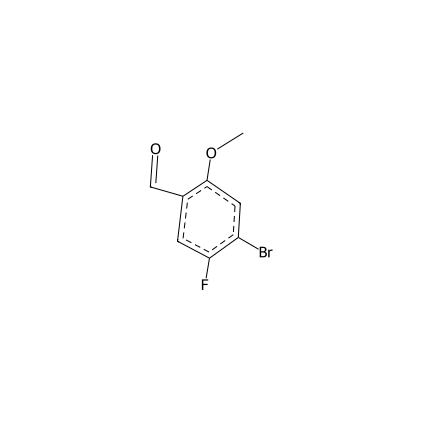 COc1cc(Br)c(F)cc1C=O